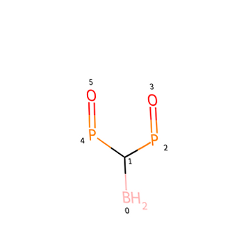 BC(P=O)P=O